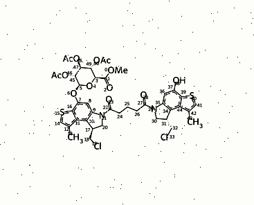 COC(=O)[C@H]1O[C@@H](Oc2cc3c(c4c(C)csc24)[C@H](CCl)CN3C(=O)CCCC(=O)N2C[C@@H](CCl)c3c2cc(O)c2scc(C)c32)[C@H](OC(C)=O)[C@@H](OC(C)=O)[C@@H]1OC(C)=O